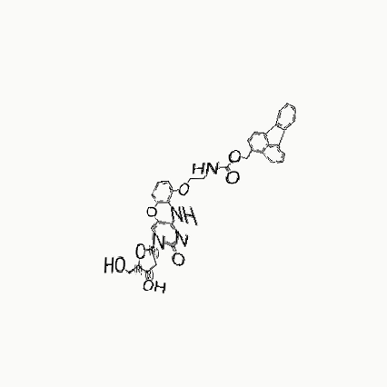 O=C(NCCOc1cccc2c1Nc1nc(=O)n([C@H]3C[C@@H](O)[C@@H](CO)O3)cc1O2)OCc1ccc2c3c(cccc13)-c1ccccc1-2